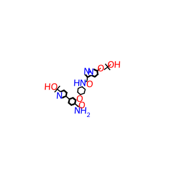 CC(C)(O)COc1ccc2c(C(=O)NC3CCC(Oc4cc(-c5ccc(C(C)(C)O)nc5)ccc4C(N)=O)CC3)cnn2c1